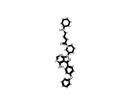 Nc1ncnc2c1c(-c1ccc(Oc3ccccc3)cc1)nn2C1CCCN(C(=O)C=CCNC2CCCCC2)C1